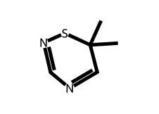 CC1(C)C=NC=NS1